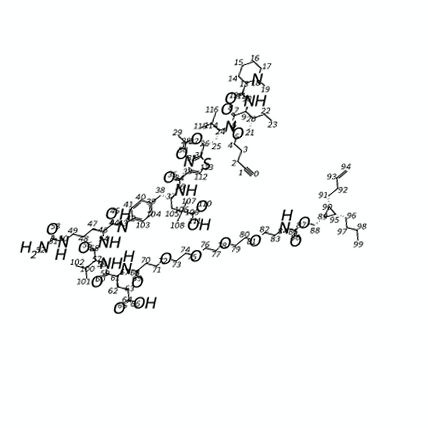 C#CCCCON(C(=O)[C@@H](NC(=O)[C@H]1CCCCN1C)[C@@H](C)CC)[C@H](C[C@@H](OC(C)=O)c1nc(C(=O)N[C@@H](Cc2ccc(NC(=O)[C@H](CCCNC(N)=O)NC(=O)[C@@H](NC(=O)[C@H](CCC(=O)O)NC(=O)CCOCCOCCOCCOCCNC(=O)OC[C@@H]3[C@H](CCC=C)[C@@H]3CCCC)C(C)C)cc2)CC(C)(C)C(=O)O)cs1)C(C)C